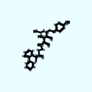 CC(C)CC[C@H](CSc1ccc(O)cc1)C(=O)N(O)C(=O)NCCC(=O)N(C)c1cccnc1-c1ccccc1